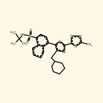 Cc1noc(-c2nc(CC3CCCCC3)c(-c3ccc(S(=O)(=O)NC(C)(C)C)c4ccccc34)s2)n1